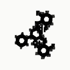 CC1=C(c2ccccc2)CC(=Nc2c(F)cccc2F)NC1=Nc1c(F)cccc1F